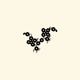 C=Cc1ccc(Oc2ccc(C3(c4ccc(F)cc4)c4ccccc4-c4ccc(N(c5ccc(-c6ccc(N(c7cc(F)c(F)c(F)c7)c7ccc8c(c7)C(c7ccc(F)cc7)(c7ccc(Oc9ccc(C=C)cc9)cc7)c7ccccc7-8)cc6)cc5)c5cc(F)c(F)c(F)c5)cc43)cc2)cc1